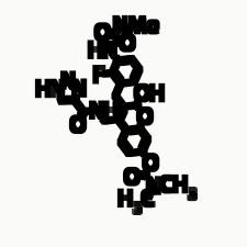 CNS(=O)(=O)Nc1cccc(CC2=C(CNC(=O)c3c[nH]nn3)c3ccc(OC(=O)N(C)C)cc3OC2O)c1F